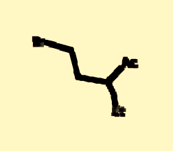 CCC(CCBr)C(C)=O